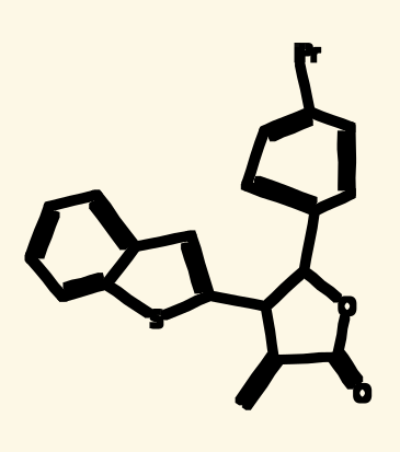 C=C1C(=O)OC(c2ccc(C(C)C)cc2)C1c1cc2ccccc2s1